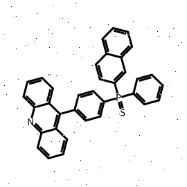 S=P(c1ccccc1)(c1ccc(-c2c3ccccc3nc3ccccc23)cc1)c1ccc2ccccc2c1